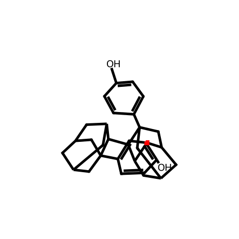 Oc1ccc(C23CC4CC(CC(C4)C2C2C4CC5CC(C4)CC2(c2ccc(O)cc2)C5)C3)cc1